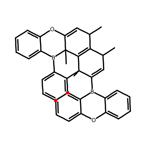 CC1C=C2Oc3ccccc3B3c4ccccc4C4(C)C(B5c6ccccc6Oc6ccccc65)=CC(C)C1=C4C32C